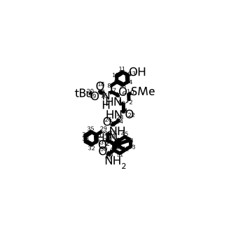 CSCC[C@@H](NC(=O)[C@H](Cc1ccc(O)cc1)NC(=O)OC(C)(C)C)C(=O)NCC(=O)N[C@@H](Cc1ccccc1)C(=O)C1C2(N)CC3CC(C2)CC1(C(N)=O)C3